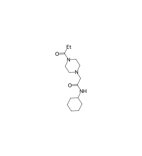 CCC(=O)N1CCN(CC(=O)NC2CCCCC2)CC1